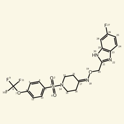 O=S(=O)(c1ccc(OC(F)(F)F)cc1)N1CCC(=NOCc2nc3ccc(F)cc3[nH]2)CC1